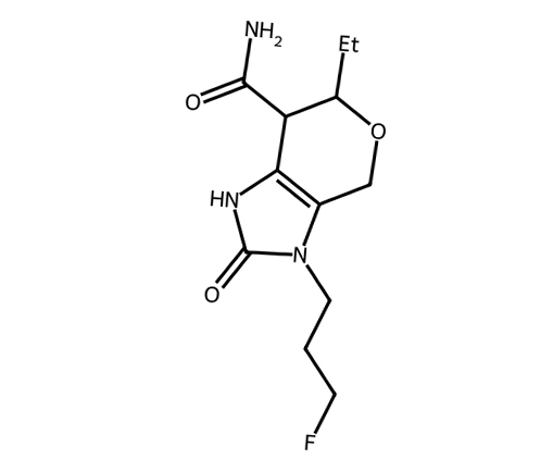 CCC1OCc2c([nH]c(=O)n2CCCF)C1C(N)=O